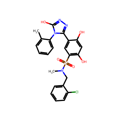 Cc1ccccc1-n1c(O)nnc1-c1cc(S(=O)(=O)N(C)Cc2ccccc2Cl)c(O)cc1O